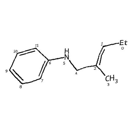 CCC=C(C)CNc1ccccc1